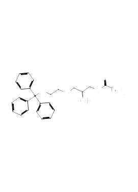 NC(=O)OCC(O)COCCOC(c1ccccc1)(c1ccccc1)c1ccccc1